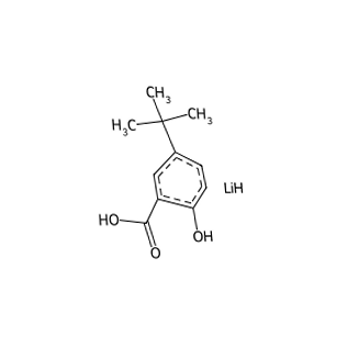 CC(C)(C)c1ccc(O)c(C(=O)O)c1.[LiH]